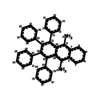 Nc1c2ccccc2c(N)c2c(-c3ccccc3)c(-c3ccccc3)c(-c3ccccc3)c(-c3ccccc3)c12